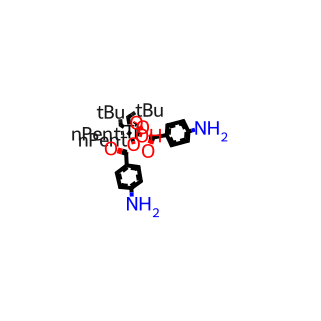 CCCC[CH2][Ti](=[O])([OH])([CH2]CCCC)([CH2]C(C)(C)C)([CH2]C(C)(C)C)([O]C(=O)c1ccc(N)cc1)[O]C(=O)c1ccc(N)cc1